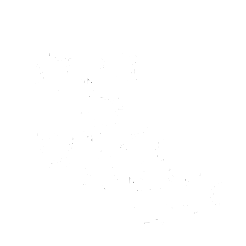 c1ccc(-n2c3ccccc3c3ccc(-n4c5ccccc5c5ccc6c(c7ccccc7n6-c6cccc7c6oc6ccccc67)c54)cc32)cc1